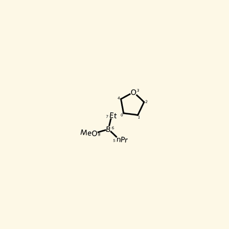 C1CCOC1.CCCB(CC)OC